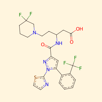 O=C(O)CC(CCN1CCCC(F)(F)C1)NC(=O)c1cc(-c2ccccc2C(F)(F)F)n(-c2nccs2)n1